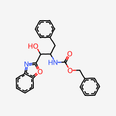 O=C(NC(Cc1ccccc1)C(O)c1nc2ccccc2o1)OCc1ccccc1